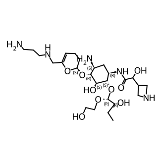 CC[C@@H](O)[C@H](OCCO)O[C@@H]1[C@@H](O)[C@H](O[C@@H]2CCC=C(CNCCCN)O2)[C@@H](N)C[C@H]1NC(=O)C(O)C1CNC1